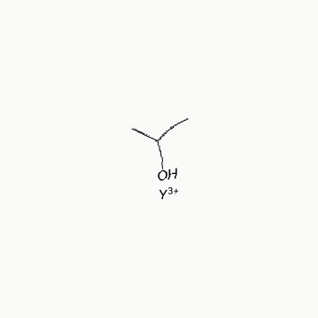 CC(C)O.[Y+3]